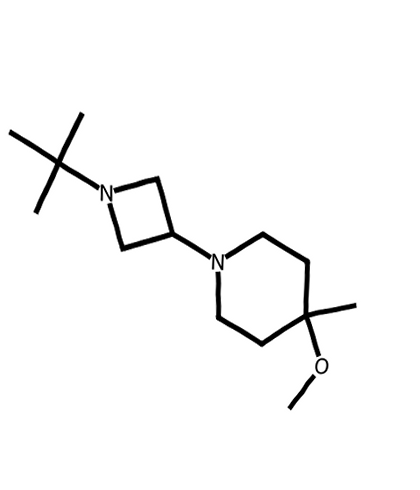 COC1(C)CCN(C2CN(C(C)(C)C)C2)CC1